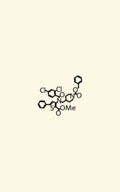 COC(=O)c1sc(-c2ccccc2)cc1N(CC1CCN(C(=O)OCc2ccccc2)CC1)C(=O)c1ccc(Cl)cc1Cl